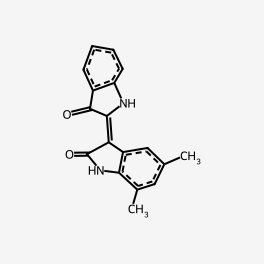 Cc1cc(C)c2c(c1)C(=C1Nc3ccccc3C1=O)C(=O)N2